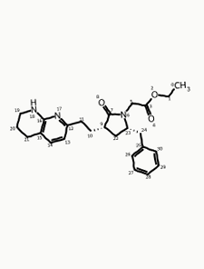 CCOC(=O)CN1C(=O)[C@@H](CCc2ccc3c(n2)NCCC3)C[C@H]1Cc1ccccc1